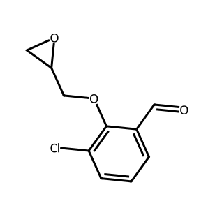 O=Cc1cccc(Cl)c1OCC1CO1